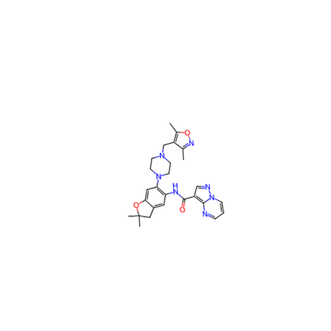 Cc1noc(C)c1CN1CCN(c2cc3c(cc2NC(=O)c2cnn4cccnc24)CC(C)(C)O3)CC1